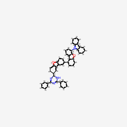 C1=c2oc3ccc(-c4cccc5oc6c(-n7c8ccccc8c8ccccc87)cccc6c45)cc3c2=CC(C2N=C(c3ccccc3)N=C(c3ccccc3)N2)C1